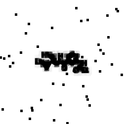 CCC(=O)Nc1cc(C(=O)NCC(C=N)[C@@H]2C=C2CC)ccn1